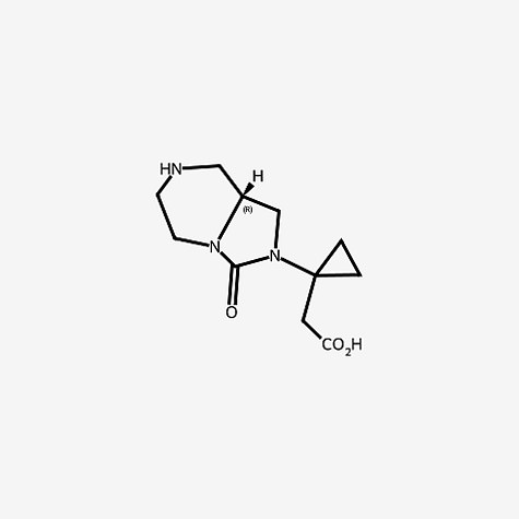 O=C(O)CC1(N2C[C@H]3CNCCN3C2=O)CC1